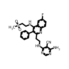 CS(=O)(=O)CCNc1c(-c2ccccc2)c(CCNc2ncnc(N)c2C#N)nc2ccc(F)cc12